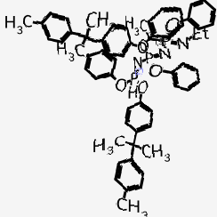 CCN=[P@@](N=P(/N=[PH](/Oc1ccccc1)Oc1ccc(C(C)(C)c2ccc(C)cc2)cc1)(Oc1ccccc1)Oc1ccccc1)(Oc1ccccc1)C(C)Oc1ccc(C(C)(C)c2ccc(C)cc2)cc1